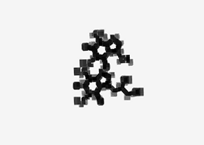 Cn1c(=O)c2c(ncn2C)n(C)c1=O.Cn1c(=O)c2c(ncn2CC(O)CO)n(C)c1=O